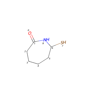 O=C1CCCCC(S)N1